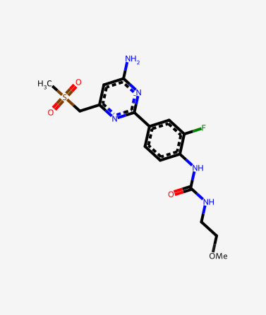 COCCNC(=O)Nc1ccc(-c2nc(N)cc(CS(C)(=O)=O)n2)cc1F